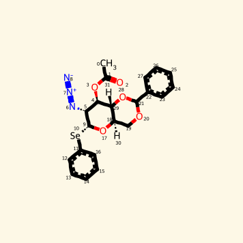 CC(=O)O[C@@H]1[C@@H](N=[N+]=[N-])[C@@H]([Se]c2ccccc2)O[C@@H]2COC(c3ccccc3)O[C@@H]12